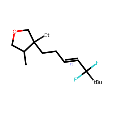 CCC1(CC/C=C/C(F)(F)C(C)(C)C)COCC1C